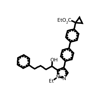 CCOC(=O)C1(c2ccc(-c3ccc(-c4cnn(CC)c4C(O)CCCc4ccccc4)cc3)cc2)CC1